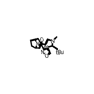 CN1C=C(C2=CC3CCC(C2)N3C(=O)c2ccon2)NC1CC(C)(C)C